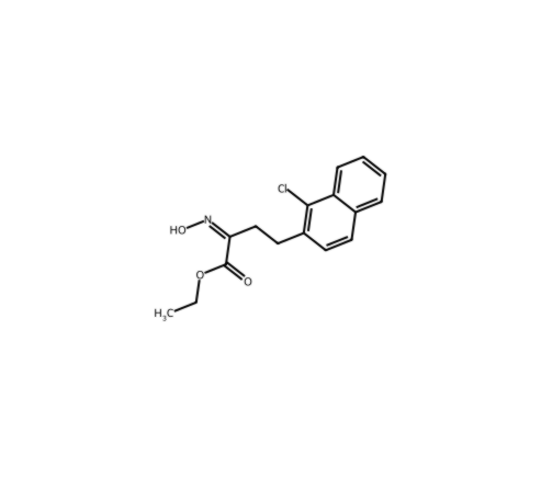 CCOC(=O)/C(CCc1ccc2ccccc2c1Cl)=N\O